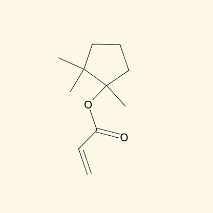 C=CC(=O)OC1(C)CCCC1(C)C